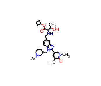 CC(=O)N1CCC[C@@H](Cn2c(-c3cc(C)c(=O)n(C)c3)nc3cc(CNC(C(=O)OC4CCC4)C(C)O)ccc32)C1